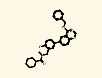 CN(Cc1cc(-c2ccc3ncnc(NCc4ccccc4)c3c2)ccc1F)C(=O)C1CCCCC1